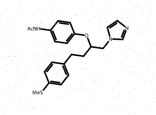 CSc1ccc(CCC(Cn2ccnc2)Oc2ccc(NC(C)=O)cc2)cc1